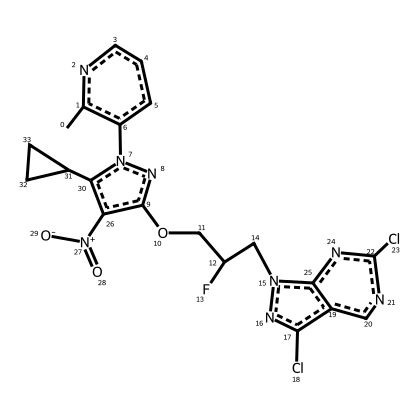 Cc1ncccc1-n1nc(OCC(F)Cn2nc(Cl)c3cnc(Cl)nc32)c([N+](=O)[O-])c1C1CC1